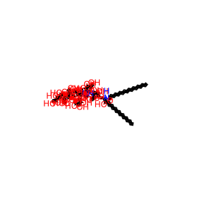 CCCCCCCCCCCCC/C=C/[C@@H](O)[C@H](CO[C@@H]1OC(CO)[C@@H](O[C@@H]2OC(CO)[C@H](O)[C@H](O[C@@H]3OC(CO)[C@@H](O[C@@H]4OC(CO)[C@H](O)[C@H](O[C@]5(C(=O)O)CC(O)[C@@H](O)C([C@H](O)[C@H](O)CO)O5)C4O)[C@H](O[C@H]4OC(C)[C@@H](O)C(O)[C@@H]4O)C3NC(C)=O)C2O)[C@H](O)C1O)NC(=O)CCCCCCCCCCCCCCCCC